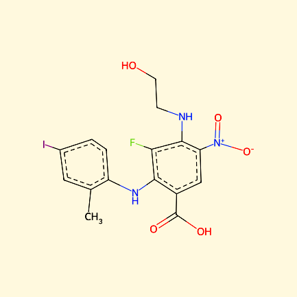 Cc1cc(I)ccc1Nc1c(C(=O)O)cc([N+](=O)[O-])c(NCCO)c1F